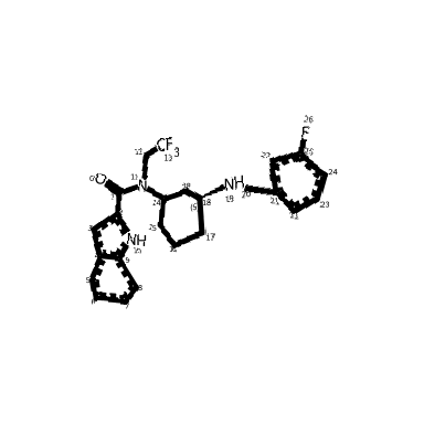 O=C(c1cc2ccccc2[nH]1)N(CC(F)(F)F)C1CCC[C@H](NCc2cccc(F)c2)C1